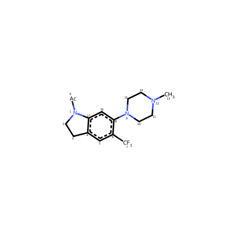 CC(=O)N1CCc2cc(C(F)(F)F)c(N3CCN(C)CC3)cc21